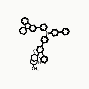 C[C@@H]1CC2C[C@@H](C1)[C@@]1(c3ccccc3-c3cc(-c4ccc(N(c5ccc(-c6ccccc6)cc5)c5cccc(-c6ccc7c(c6)-c6ccccc6C76CCCCC6)c5)cc4)ccc31)[C@@H](C)C2